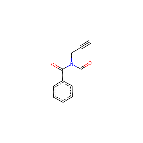 C#CCN(C=O)C(=O)c1ccccc1